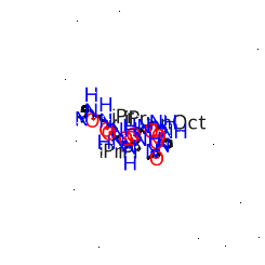 CCCCCCCC[C@H](NC(=O)[C@@H]1CCCN1C(=O)c1coc(C)n1)C(=O)N[C@@H](CC(C)C)C(=O)NC(C)(C)C(=O)N[C@@H](CC(C)C)C(=O)N[C@@H](CC(C)C)C(=O)NC(C)(C)C(=O)N[C@@H](CC(C)C)C(=O)NCCC(=O)NC1(CN(C)C)CCC1